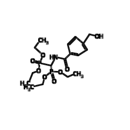 CCOP(=O)(OCC)C(NC(=O)c1ccc(CO)cc1)P(=O)(OCC)OCC